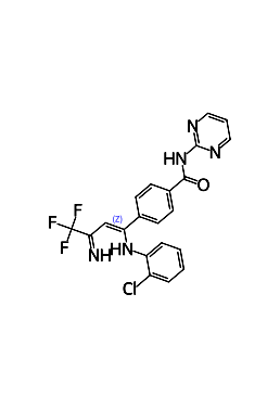 N=C(/C=C(\Nc1ccccc1Cl)c1ccc(C(=O)Nc2ncccn2)cc1)C(F)(F)F